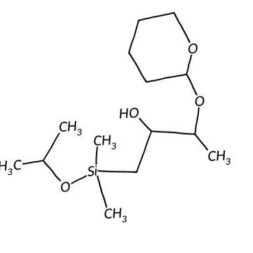 CC(C)O[Si](C)(C)CC(O)C(C)OC1CCCCO1